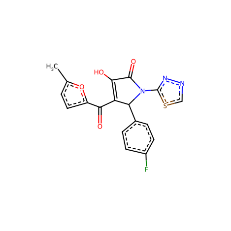 Cc1ccc(C(=O)C2=C(O)C(=O)N(c3nncs3)C2c2ccc(F)cc2)o1